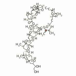 C=C1C[C@@H]2CC[C@@]34C[C@H]5O[C@@H]6C(O3)[C@H]3O[C@H](CC[C@@H]3O[C@H]6[C@H]5O4)CC(=O)O[C@@H]3[C@@H](C)[C@@H]4O[C@@H]5C[C@]6(C[C@@H]7O[C@]8(C[C@H](C)[C@@H]9O[C@@H]%10CC(C(O)CO)O[C@@H]%10C[C@@H]9O8)C[C@H](C)[C@@H]7O6)O[C@@H]5C[C@@H]4O[C@H]3C[C@H]3O[C@@H](CC[C@@H]1O2)C[C@@H](C)C3=C